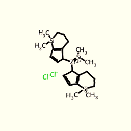 C[Si](C)=[Zr+2]([CH]1C=CC2=C1CCC[Si]2(C)C)[CH]1C=CC2=C1CCC[Si]2(C)C.[Cl-].[Cl-]